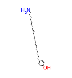 NCCCCC=CCC=CCC=CCC=CCCCCCc1ccc(O)cc1